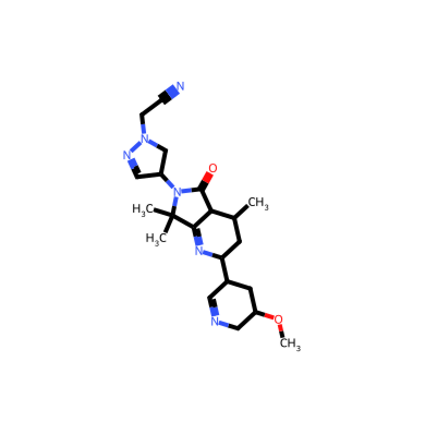 COC1CN=CC(C2CC(C)C3C(=O)N(C4C=NN(CC#N)C4)C(C)(C)C3=N2)C1